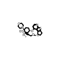 CC#CCOC[C@H]1CCc2sc3nccc(O[C@H]4CC[C@](CC)(N5CCOCC5)CC4)c3c21